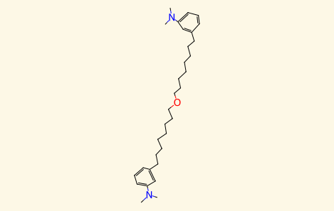 CN(C)c1cccc(CCCCCCCCOCCCCCCCCc2cccc(N(C)C)c2)c1